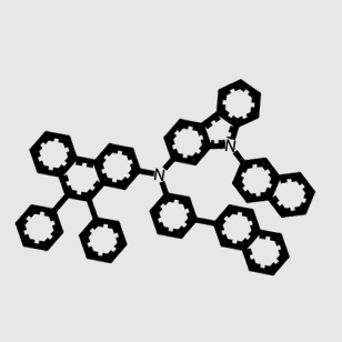 c1ccc(-c2c(-c3ccccc3)c3cc(N(c4cccc(-c5ccc6ccccc6c5)c4)c4ccc5c6ccccc6n(-c6ccc7ccccc7c6)c5c4)ccc3c3ccccc23)cc1